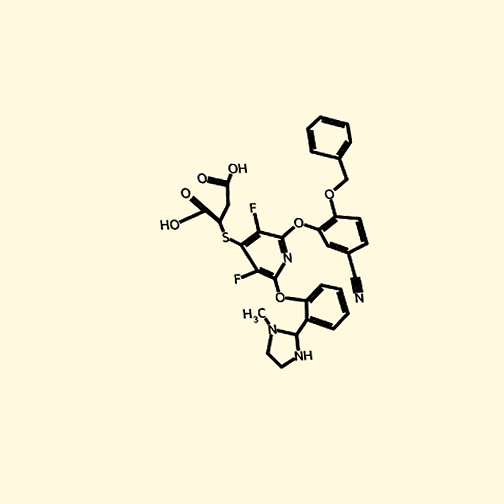 CN1CCNC1c1ccccc1Oc1nc(Oc2cc(C#N)ccc2OCc2ccccc2)c(F)c(SC(CC(=O)O)C(=O)O)c1F